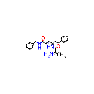 C[C@H](N)C(=O)N[C@H](/C=C/C(=O)NCc1ccccc1)CCc1ccccc1